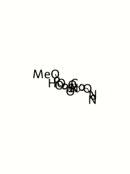 COc1ccc(Oc2ccc(S(=O)(=O)N3CCc4cc(OCCn5ccnc5)ccc4C3C(=O)O)cc2)cc1